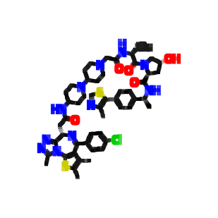 Cc1ncsc1-c1ccc([C@H](C)NC(=O)[C@@H]2C[C@@H](O)CN2C(=O)[C@@H](NC(=O)CN2CCC(N3CCC(NC(=O)C[C@@H]4N=C(c5ccc(Cl)cc5)c5c(sc(C)c5C)-n5c(C)nnc54)CC3)CC2)C(C)(C)C)cc1